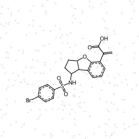 C=C(C(=O)O)c1cccc2c1OC1CCC(NS(=O)(=O)c3ccc(Br)cc3)C21